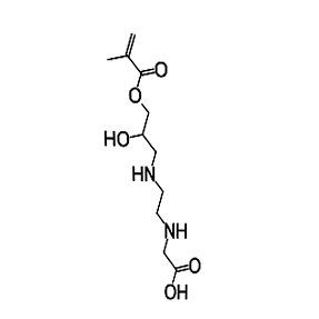 C=C(C)C(=O)OCC(O)CNCCNCC(=O)O